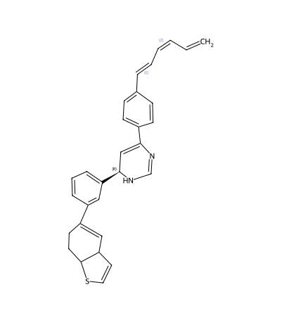 C=C/C=C\C=C\c1ccc(C2=C[C@H](c3cccc(C4=CC5C=CSC5CC4)c3)NC=N2)cc1